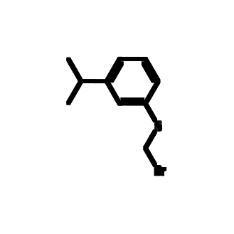 CC(C)c1cccc(SCBr)c1